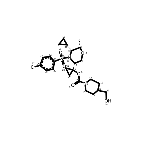 C[C@@H]1OC[C@H](C2(OC(=O)N3CCC(CO)CC3)CC2)N(S(=O)(=O)c2ccc(Cl)cc2)[C@@H]1C1CC1